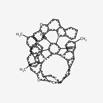 Cc1ccc2c(c1)c1cc(C)ccc1n2-c1c(C#N)c(-n2c3ccccc3c3ccc4oc5ccccc5c4c32)c(C#N)c2c1n1c3ccccc3c3ccc4oc5cc(ccc5c4c31)c1ccc3c(c1)c1cc(C)ccc1n32